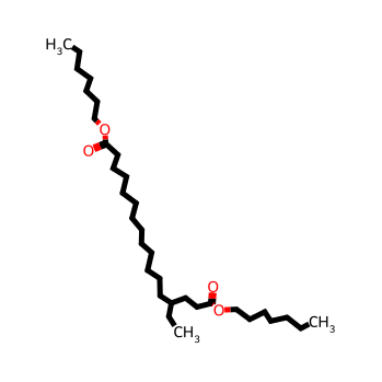 CCCCCCCOC(=O)CCCCCCCCCCCCC(CC)CCC(=O)OCCCCCCC